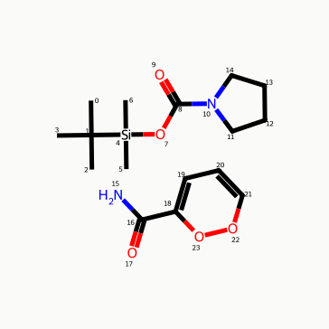 CC(C)(C)[Si](C)(C)OC(=O)N1CCCC1.NC(=O)C1=CC=COO1